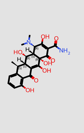 C[C@@H]1c2cccc(O)c2C(=O)C2=C(O)[C@@]3(O)C(=O)C(C(N)=O)=C(O)[C@H](N(C)C)[C@H]3[C@H](O)[C@H]21